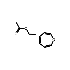 C1=CC=COC=C1.CCOC(C)=O